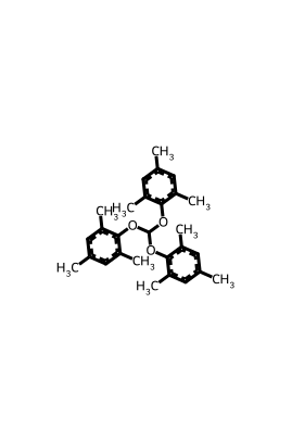 Cc1cc(C)c(OC(Oc2c(C)cc(C)cc2C)Oc2c(C)cc(C)cc2C)c(C)c1